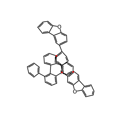 c1ccc(-c2ccccc2-c2c(-c3ccccc3)cccc2N(c2ccc(-c3ccc4oc5ccccc5c4c3)cc2)c2ccc3c(c2)oc2ccccc23)cc1